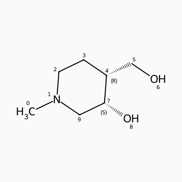 CN1CC[C@H](CO)[C@H](O)C1